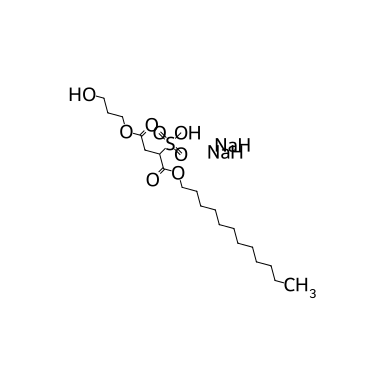 CCCCCCCCCCCCOC(=O)C(CC(=O)OCCCO)S(=O)(=O)O.[NaH].[NaH]